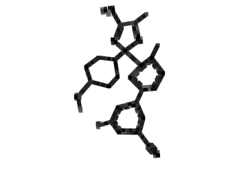 COC1CCC(C2(c3cc(-c4cc(F)cc(C#N)c4)ccc3C)N=C(C)C(N)=N2)CC1